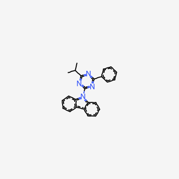 CC(C)c1nc(-c2ccccc2)nc(-n2c3ccccc3c3ccccc32)n1